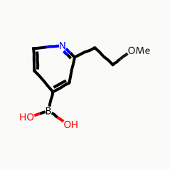 COCCc1cc(B(O)O)ccn1